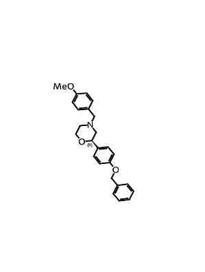 COc1ccc(CN2CCO[C@H](c3ccc(OCc4ccccc4)cc3)C2)cc1